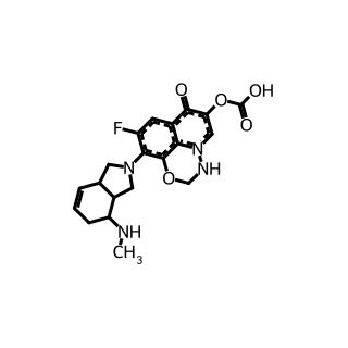 CNC1CC=CC2CN(c3c(F)cc4c(=O)c(OC(=O)O)cn5c4c3OCN5)CC21